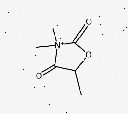 CC1OC(=O)[N+](C)(C)C1=O